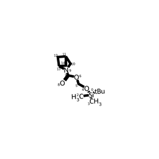 CC(C)(C)[Si](C)(C)OCOC(=O)N1CC2CC1C2